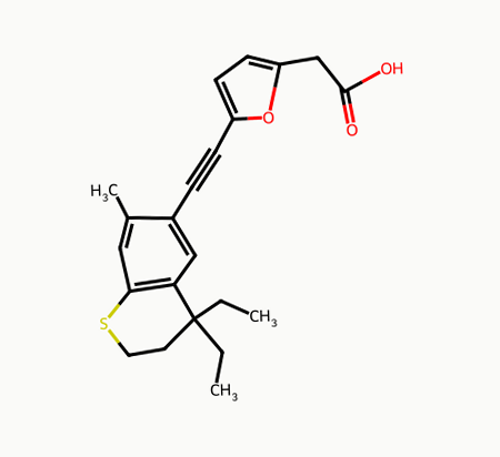 CCC1(CC)CCSc2cc(C)c(C#Cc3ccc(CC(=O)O)o3)cc21